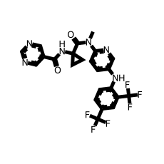 CN(C(=O)C1(NC(=O)c2cncnc2)CC1)c1ccc(Nc2ccc(C(F)(F)F)cc2C(F)(F)F)cn1